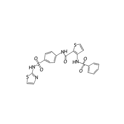 O=C(Nc1ccc(S(=O)(=O)Nc2nccs2)cc1)c1sccc1NS(=O)(=O)c1ccccc1